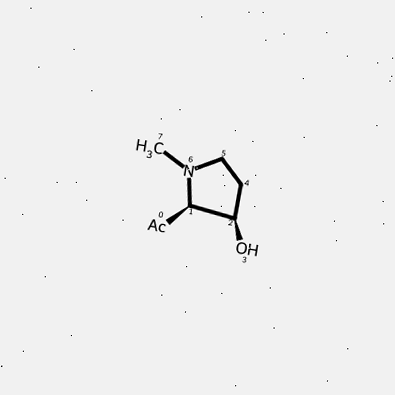 CC(=O)[C@@H]1[C@H](O)CCN1C